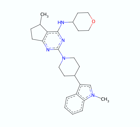 CC1CCc2nc(N3CCC(c4cn(C)c5ccccc45)CC3)nc(NC3CCOCC3)c21